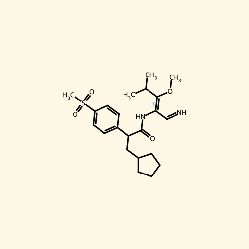 CO/C(=C(\C=N)NC(=O)C(CC1CCCC1)c1ccc(S(C)(=O)=O)cc1)C(C)C